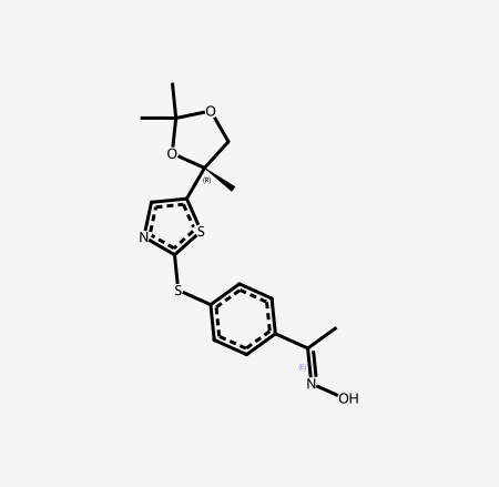 C/C(=N\O)c1ccc(Sc2ncc([C@@]3(C)COC(C)(C)O3)s2)cc1